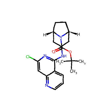 CC(C)(C)OC(=O)N1[C@@H]2CC[C@H]1CC(Nc1nc(Cl)cc3ncccc13)C2